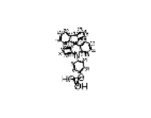 OB(O)Oc1ccc(N2c3ccccc3C3(c4ccccc4-c4ccccc43)c3ccccc32)cc1